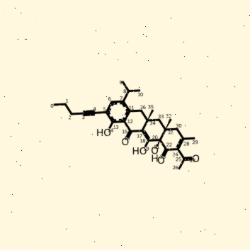 CCCC#Cc1cc(C(C)C)c2c(c1O)C(=O)C1=C(O)[C@@]3(O)C(=O)C(C(C)=O)=C(C)C[C@@]3(C)C[C@@]1(C)C2